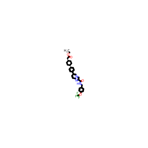 CCOC(=O)C[C@H]1CC[C@H](c2ccc(-c3ccc4nc(C(=O)NCc5ccc(OC(F)(F)F)cc5)cn4c3)cc2)CC1